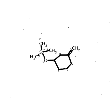 C=C1CCCC(O[Si](C)(C)C)C1